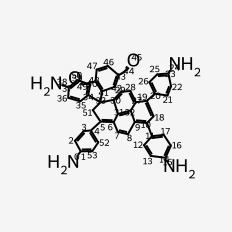 Nc1ccc(C2=c3ccc4c(-c5ccc(N)cc5)cc(-c5ccc(N)cc5)c5ccc(c3c54)C(c3ccc(N)cc3)(c3cc(C=O)ccc3C=O)C2)cc1